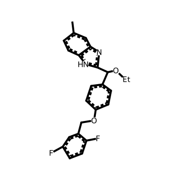 CCOC(c1ccc(OCc2cc(F)ccc2F)cc1)c1nc2cc(C)ccc2[nH]1